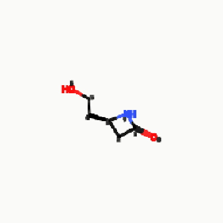 O=C1C[C@@H](CCO)N1